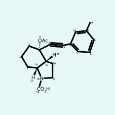 CC(=O)O[C@@]1(C#Cc2cccc(C)c2)CCC[C@@H]2[C@H]1CCN2C(=O)O